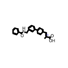 C/C(=C\c1ccc(-c2cccc(CNC(=O)c3ccccc3)c2)cc1)C(=O)O